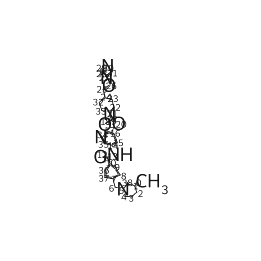 CC1CCCN(Cc2ccc(C(=O)Nc3ccc(OC(=O)N4CCC(COn5ccnc5)CC4)nc3)cc2)C1